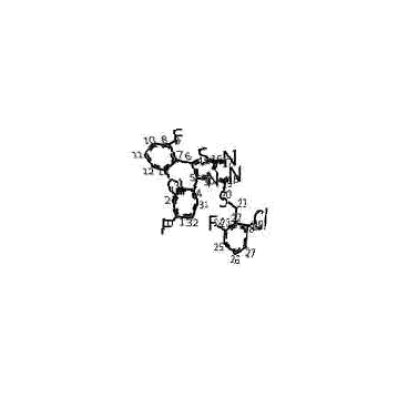 Fc1ccc(-c2c(-c3c(F)cccc3Cl)sc3nnc(SCc4c(F)cccc4Cl)n23)cc1